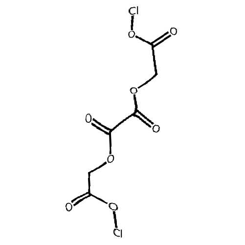 O=C(COC(=O)C(=O)OCC(=O)OCl)OCl